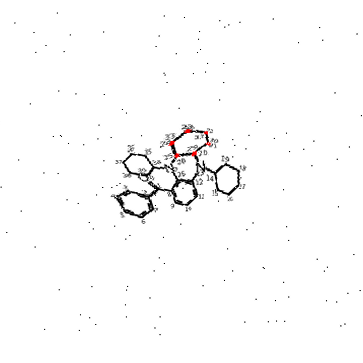 O=C(c1ccccc1)c1cccc(N(C2CCCCC2)C2CCCCC2)c1N(C1CCCCC1)C1CCCCC1